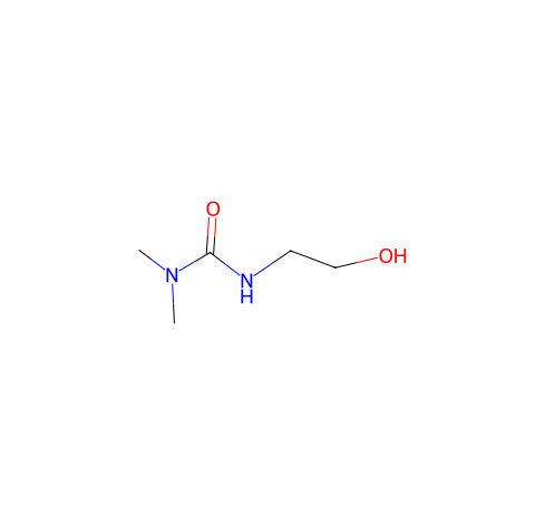 CN(C)C(=O)NCCO